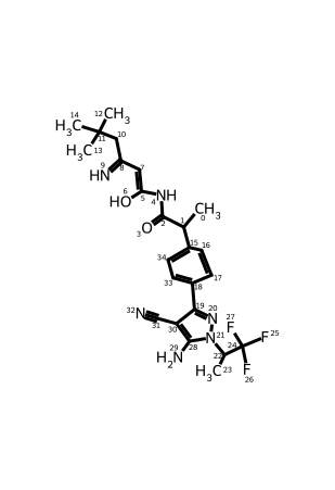 CC(C(=O)N/C(O)=C/C(=N)CC(C)(C)C)c1ccc(-c2nn(C(C)C(F)(F)F)c(N)c2C#N)cc1